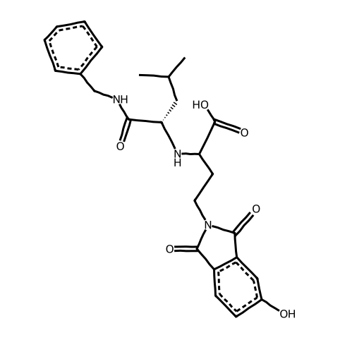 CC(C)C[C@H](NC(CCN1C(=O)c2ccc(O)cc2C1=O)C(=O)O)C(=O)NCc1ccccc1